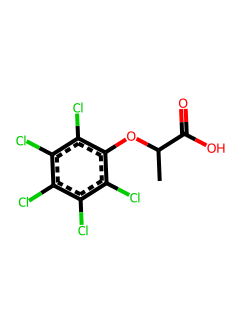 CC(Oc1c(Cl)c(Cl)c(Cl)c(Cl)c1Cl)C(=O)O